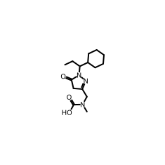 CCC(C1CCCCC1)N1N=C(CN(C)C(=O)O)CC1=O